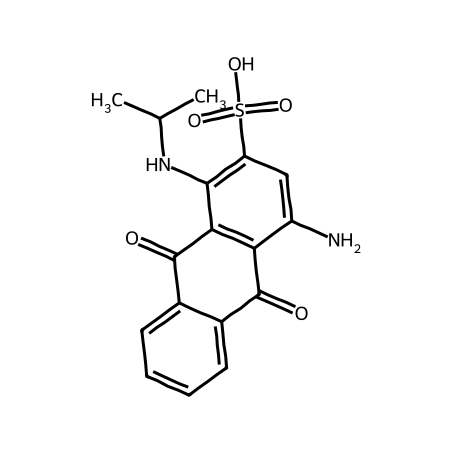 CC(C)Nc1c(S(=O)(=O)O)cc(N)c2c1C(=O)c1ccccc1C2=O